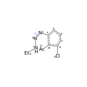 CCN/N=N\c1cccc(Cl)c1C(C)=O